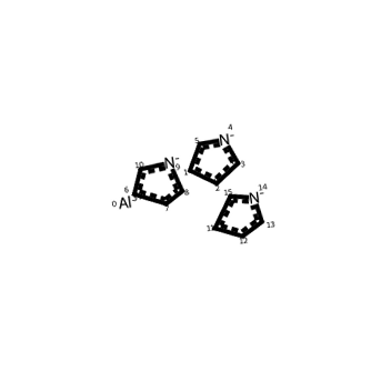 [Al+3].c1cc[n-]c1.c1cc[n-]c1.c1cc[n-]c1